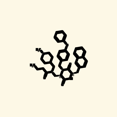 CN1CCC(CN(C[C@H]2C(=O)N[C@@H](Cc3ccc4ccccc4c3)C(=O)N2Cc2ccc(Oc3ccccc3)cc2)C(=O)CCN)CC1